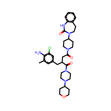 Cc1cc(CC(CC(=O)N2CCC(N3CCc4ccccc4NC3=O)CC2)C(=O)N2CCN(C3CCOCC3)CC2)cc(Cl)c1N